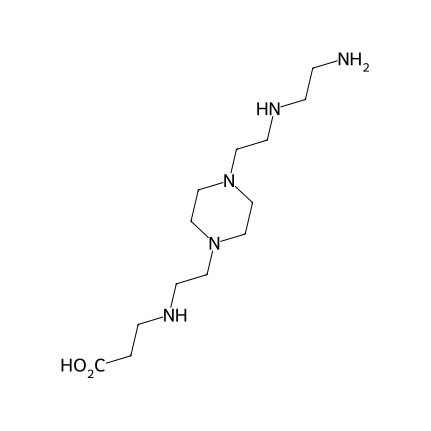 NCCNCCN1CCN(CCNCCC(=O)O)CC1